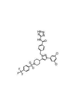 O=C(Nc1nn[nH]n1)c1ccc(Cn2nc(-c3cc(Cl)cc(Cl)c3)cc2C2CCN(S(=O)(=O)c3ccc(C(F)(F)F)cc3)CC2)cc1